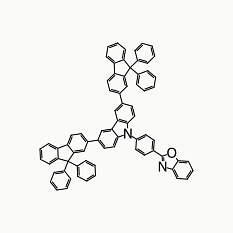 c1ccc(C2(c3ccccc3)c3ccccc3-c3ccc(-c4ccc5c(c4)c4cc(-c6ccc7c(c6)C(c6ccccc6)(c6ccccc6)c6ccccc6-7)ccc4n5-c4ccc(-c5nc6ccccc6o5)cc4)cc32)cc1